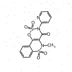 CN1C2=C(OS(=O)(=O)N(c3ccccn3)C2=O)c2ccccc2S1(=O)=O